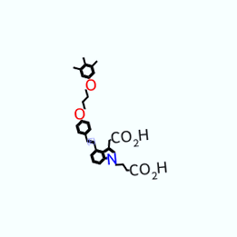 Cc1cc(OCCCCOc2ccc(/C=C/c3cccc4c3c(CC(=O)O)cn4CCCC(=O)O)cc2)cc(C)c1C